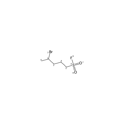 CC(Br)CCCS(=O)(=O)F